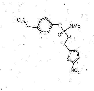 CNP(=O)(OCc1ccc([N+](=O)[O-])s1)Oc1ccc(CC(=O)O)cc1